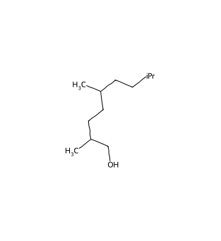 CC(C)CCC(C)CCC(C)CO